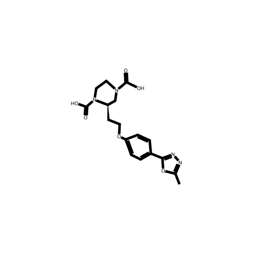 Cc1nnc(-c2ccc(OCC[C@@H]3CN(C(=O)O)CCN3C(=O)O)cc2)o1